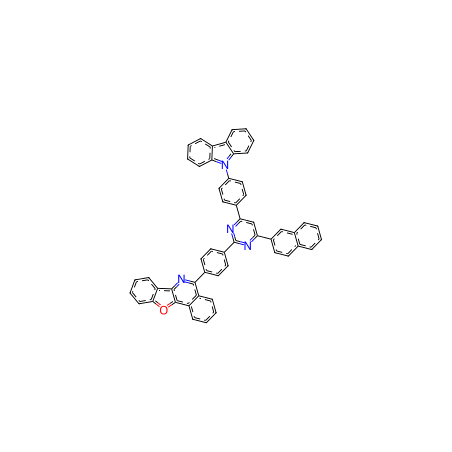 c1ccc2cc(-c3cc(-c4ccc(-n5c6ccccc6c6ccccc65)cc4)nc(-c4ccc(-c5nc6c7ccccc7oc6c6ccccc56)cc4)n3)ccc2c1